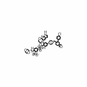 O=C(NS(=O)(=O)c1ccc(NC[C@H]2COCCO2)c([N+](=O)[O-])c1)c1ccc(N2CCN(CC3=C(c4ccc(Cl)cc4)CC4(CC3)COC4)CC2)cc1N1CCCOc2nc3[nH]ccc3cc21